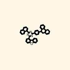 C1=CC2=C(CC1)c1ccccc1C(c1ccc(-c3nc(-c4cccc5ccccc45)nc(-c4cccc5oc6ccccc6c45)n3)cc1)C2